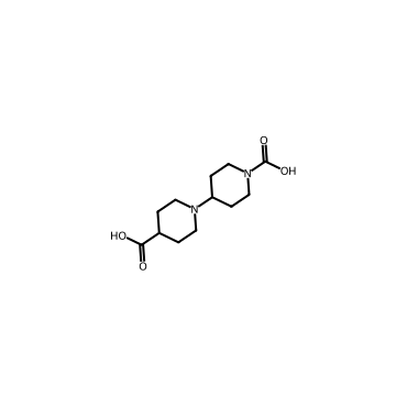 O=C(O)C1CCN(C2CCN(C(=O)O)CC2)CC1